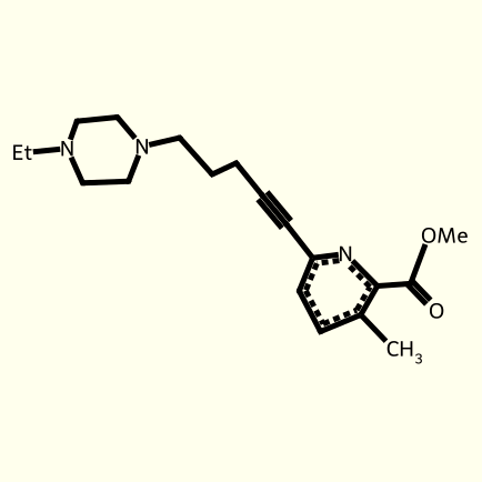 CCN1CCN(CCCC#Cc2ccc(C)c(C(=O)OC)n2)CC1